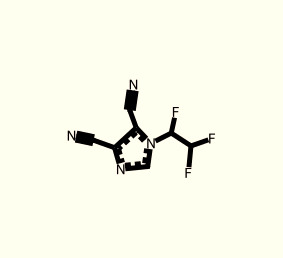 N#Cc1ncn(C(F)C(F)F)c1C#N